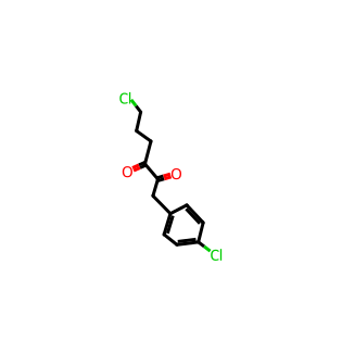 O=C(CCCCl)C(=O)Cc1ccc(Cl)cc1